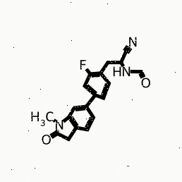 CN1C(=O)Cc2ccc(-c3ccc(CC(C#N)NC=O)c(F)c3)cc21